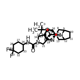 CC(C)(C)OC(=O)N1CC2CCC(C1)N2c1ccc2c(n1)CN(C(=O)NC1CCC(F)(F)CC1)C2